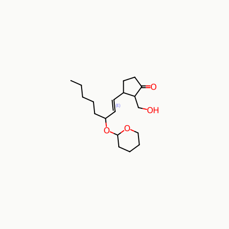 CCCCCC(/C=C/C1CCC(=O)C1CO)OC1CCCCO1